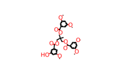 COc1cc(O)cc(C(=O)OCC(C)(COC(=O)c2cc(OC)cc(OC)c2)COC(=O)c2cc(OC)cc(OC)c2)c1